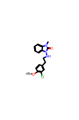 CCCCOc1ccc(CCNn2c(=O)n(C)c3ccccc32)cc1Cl